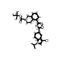 CC(C)n1cc(Cl)c2cc(-c3nc(-c4cccc5c4CCN(C(=O)OC(C)(C)C)C5)no3)ccc21